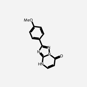 COc1ccc(-c2nc3[nH]ccc(=O)n3n2)cc1